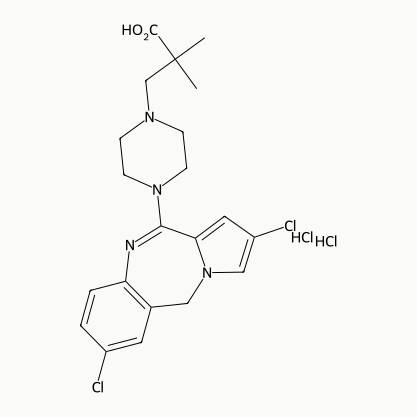 CC(C)(CN1CCN(C2=Nc3ccc(Cl)cc3Cn3cc(Cl)cc32)CC1)C(=O)O.Cl.Cl